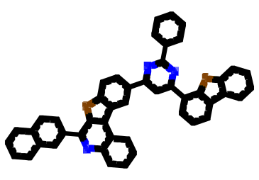 c1ccc(-c2nc(-c3ccc4sc5c(-c6ccc7ccccc7c6)nc6ccccc6c5c4c3)cc(-c3cccc4c3sc3ccccc34)n2)cc1